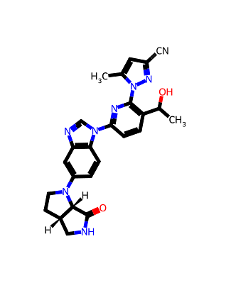 Cc1cc(C#N)nn1-c1nc(-n2cnc3cc(N4CC[C@H]5CNC(=O)[C@H]54)ccc32)ccc1C(C)O